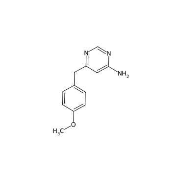 COc1ccc(Cc2cc(N)ncn2)cc1